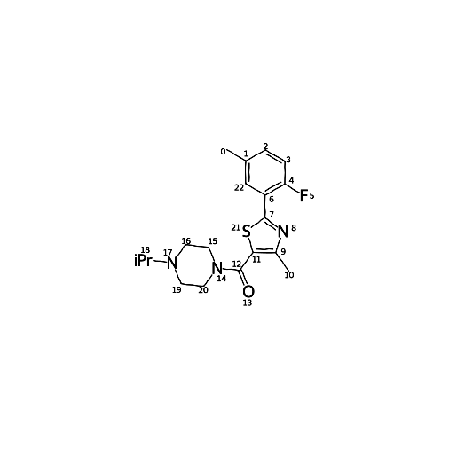 Cc1ccc(F)c(-c2nc(C)c(C(=O)N3CCN(C(C)C)CC3)s2)c1